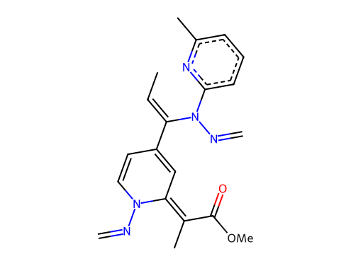 C=NN1C=CC(C(=C/C)/N(N=C)c2cccc(C)n2)=C/C1=C(/C)C(=O)OC